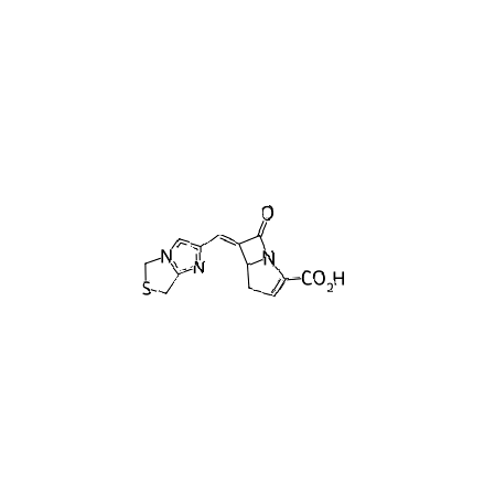 O=C(O)C1=CCC2/C(=C\c3cn4c(n3)CSC4)C(=O)N12